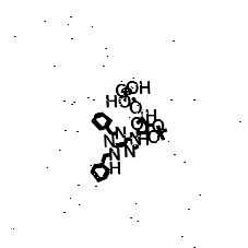 CC1(C)O[C@@H]2[C@H](O1)[C@@H](COCP(=O)(O)O)O[C@H]2n1cnc2c(NCc3ccccc3)nc(-c3ccccc3)nc21